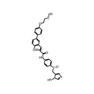 CCCOCCOc1ccc(-c2ccc(OC)c(/C=C/C(=O)Nc3ccc([S+]([O-])Cc4cncn4CCC)cc3)c2)cc1